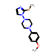 COc1ccc(N2CCN(n3ccnc3SC)CC2)cc1